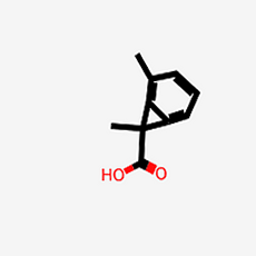 Cc1cccc2c1C2(C)C(=O)O